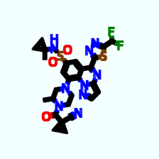 CC1CN(c2cc(S(=O)(=O)NC3(C)CC3)cc3c(-c4nnc(C(F)F)s4)nc4ccnn4c23)CCN1C(=O)C1(C#N)CC1